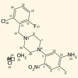 Cc1cc([N+](=O)[O-])c(N2CCN(Cc3c(F)cccc3Cl)CC2)cc1N.Cl.Cl.O